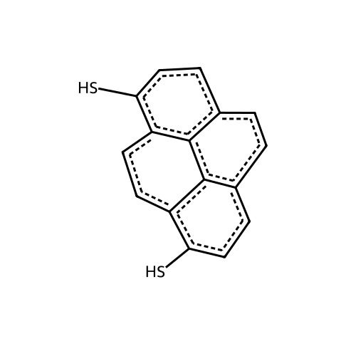 Sc1ccc2ccc3ccc(S)c4ccc1c2c34